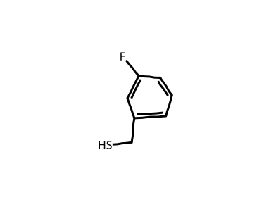 Fc1cccc(CS)c1